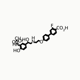 CS(=O)(=O)Nc1cc([C@@H](O)CNCCOc2ccc(-c3ccc(C(=O)O)c(F)c3)cc2)ccc1O